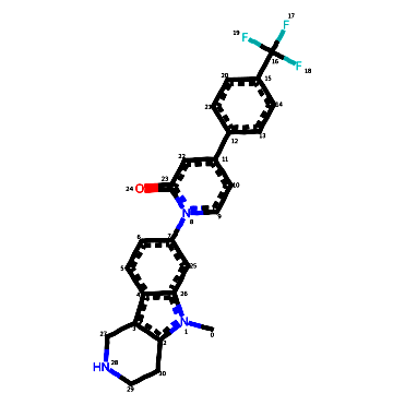 Cn1c2c(c3ccc(-n4ccc(-c5ccc(C(F)(F)F)cc5)cc4=O)cc31)CNCC2